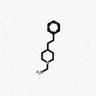 NCN1CCC(CCc2ccccc2)CC1